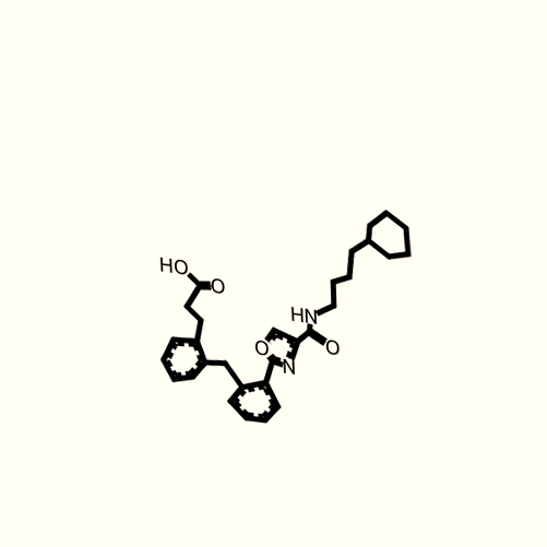 O=C(O)CCc1ccccc1Cc1ccccc1-c1nc(C(=O)NCCCCC2CCCCC2)co1